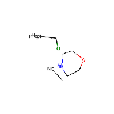 C1COCCN1.CC#N.CCCCCCCCCl